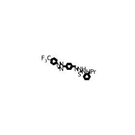 CC(C)c1ccccc1NC(=S)N/N=C/c1ccc(-c2ncn(-c3ccc(C(F)(F)F)cc3)n2)cc1